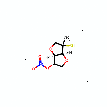 C[C@]1(S)CO[C@@H]2[C@H](O[N+](=O)[O-])CO[C@@H]21